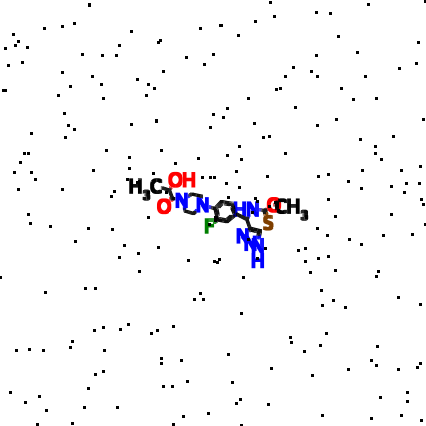 COC(=S)NC(c1ccc(N2CCN(C(=O)C(C)O)CC2)c(F)c1)c1c[nH]nn1